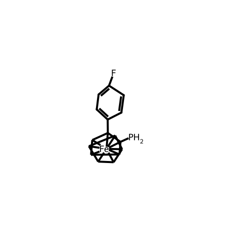 Fc1ccc([C]23[CH]4[CH]5[CH]6[C]2(P)[Fe]56432789[CH]3[CH]2[CH]7[CH]8[CH]39)cc1